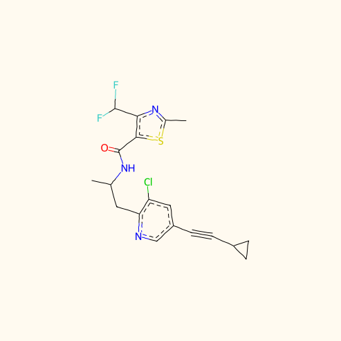 Cc1nc(C(F)F)c(C(=O)NC(C)Cc2ncc(C#CC3CC3)cc2Cl)s1